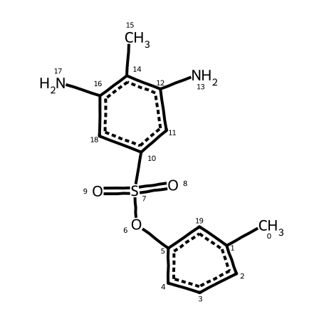 Cc1cccc(OS(=O)(=O)c2cc(N)c(C)c(N)c2)c1